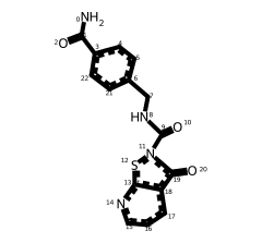 NC(=O)c1ccc(CNC(=O)n2sc3ncccc3c2=O)cc1